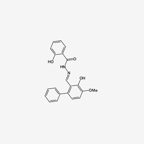 COc1ccc(-c2ccccc2)c(/C=N/NC(=O)c2ccccc2O)c1O